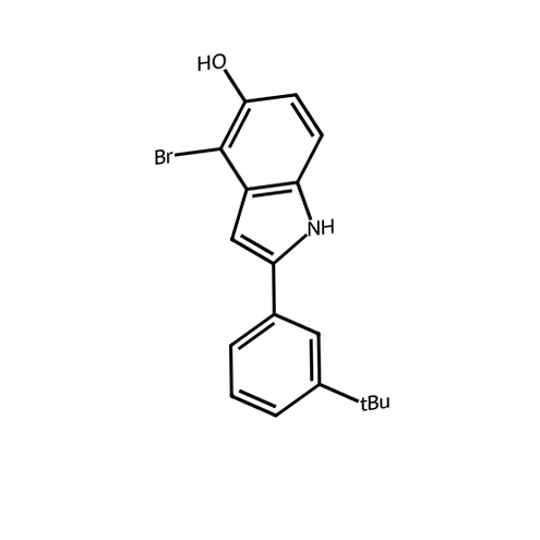 CC(C)(C)c1cccc(-c2cc3c(Br)c(O)ccc3[nH]2)c1